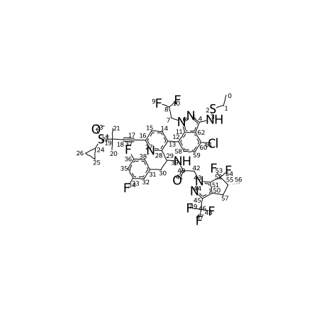 CCSNc1nn(CC(F)F)c2c(-c3ccc(C#CC(C)(C)[S+]([O-])C4CC4)nc3C(Cc3cc(F)cc(F)c3)NC(=O)Cn3nc(C(F)(F)F)c4c3C(F)(F)[C@H](C)C4)ccc(Cl)c12